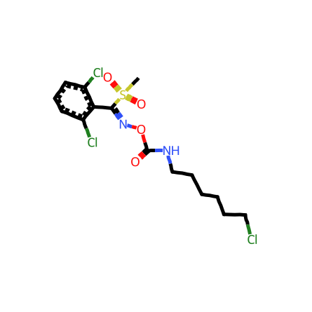 CS(=O)(=O)C(=NOC(=O)NCCCCCCCl)c1c(Cl)cccc1Cl